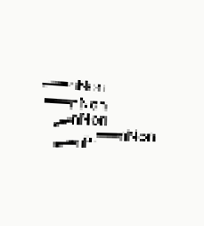 CCCC.CCCCCCCCCC.CCCCCCCCCC.CCCCCCCCCC.CCCCCCCCCC